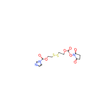 O=C(OCCSSCCOC(=O)n1ccnc1)ON1C(=O)CCC1=O